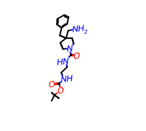 CC(C)(C)OC(=O)NCCNC(=O)N1CCC(CN)(Cc2ccccc2)CC1